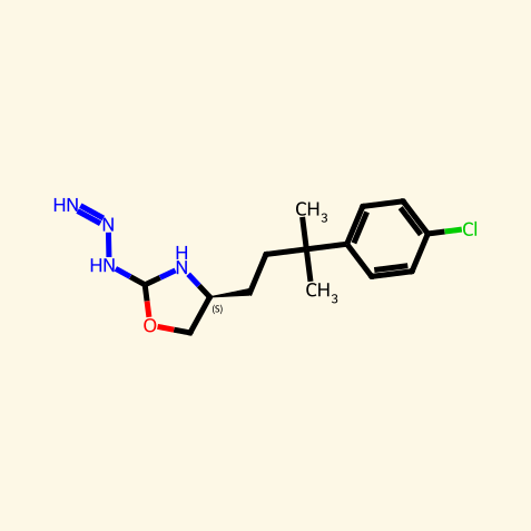 CC(C)(CC[C@H]1COC(NN=N)N1)c1ccc(Cl)cc1